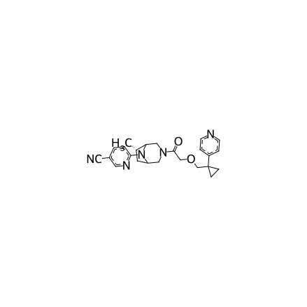 C[C@H]1CC2CN(C(=O)COCC3(c4ccncc4)CC3)CC1N2c1ccc(C#N)cn1